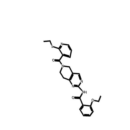 CCOc1ccccc1C(=O)Nc1ncc2c(n1)CCN(C(=O)c1cccnc1SCC)C2